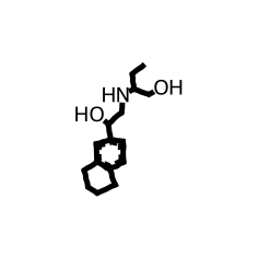 CCC(CO)NCC(O)c1ccc2c(c1)CCCC2